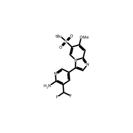 COc1cc2ncc(-c3cnc(N)c(C(F)F)c3)n2cc1S(=O)(=O)C(C)(C)C